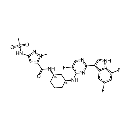 Cn1nc(NS(C)(=O)=O)cc1C(=O)N[C@@H]1CCC[C@H](Nc2nc(-c3c[nH]c4c(F)cc(F)cc34)ncc2F)C1